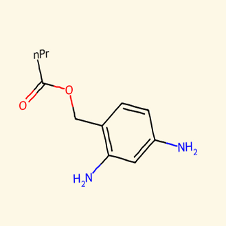 CCCC(=O)OCc1ccc(N)cc1N